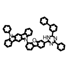 c1ccc(C2=NC(c3cccc(-c4ccccc4)c3)NC(c3ccc4c(c3)oc3c(-n5c6ccccc6c6cc7c(cc65)c5ccccc5n7-c5ccccc5)cccc34)=N2)cc1